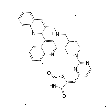 O=C1NC(=O)C(=Cc2ccnc(N3CCC(CNCc4cc5ccccc5nc4-c4ccnc5ccccc45)CC3)n2)S1